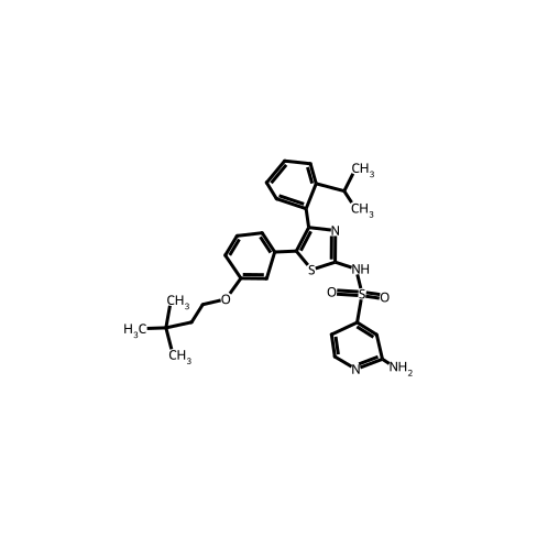 CC(C)c1ccccc1-c1nc(NS(=O)(=O)c2ccnc(N)c2)sc1-c1cccc(OCCC(C)(C)C)c1